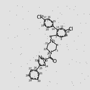 O=C(N1CCN(Cc2ccc(Cl)cc2-c2ccc(Cl)cc2)CC1)n1cc(-c2ccccc2)cn1